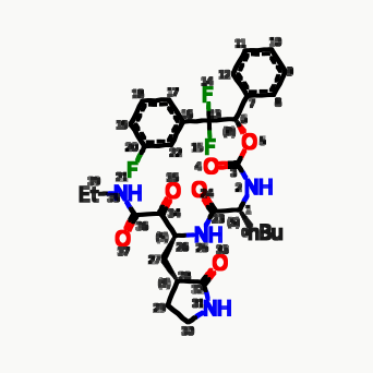 CCCC[C@H](NC(=O)O[C@H](c1ccccc1)C(F)(F)c1cccc(F)c1)C(=O)N[C@@H](C[C@@H]1CCNC1=O)C(=O)C(=O)NCC